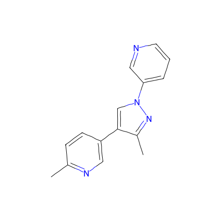 Cc1ccc(-c2cn(-c3cccnc3)nc2C)cn1